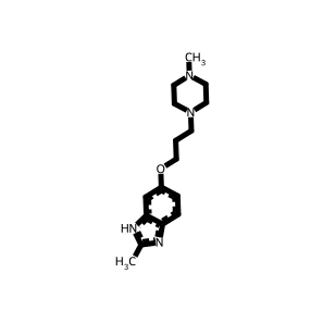 Cc1nc2ccc(OCCCN3CCN(C)CC3)cc2[nH]1